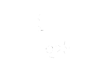 O=CN1CCN(S(=O)(=O)CCCOc2ccc([N+](=O)[O-])c(/C=C3\NC(=O)NC3=O)c2)CC1